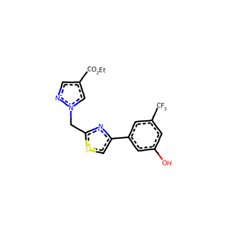 CCOC(=O)c1cnn(Cc2nc(-c3cc(O)cc(C(F)(F)F)c3)cs2)c1